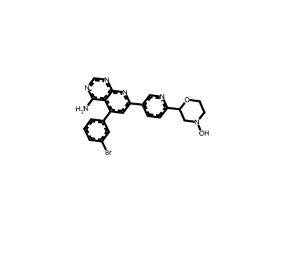 Nc1ncnc2nc(-c3ccc(C4CN(O)CCO4)nc3)cc(-c3cccc(Br)c3)c12